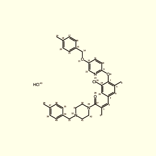 CC(=Cc1cc(C)c(Oc2ccc(OCc3ccc(C)cc3)cn2)c(Cl)c1)C(=O)N1CCN(Cc2ccc(C)cc2)CC1.Cl